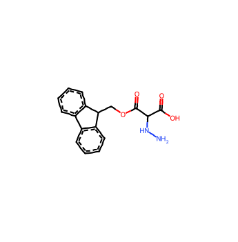 NNC(C(=O)O)C(=O)OCC1c2ccccc2-c2ccccc21